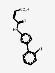 O=C(O)/C=C\C(=O)Nc1nc(-c2ccccc2Cl)cs1